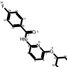 O=C(Nc1cccc(OC2CCNCC2)n1)c1ccc(F)cc1